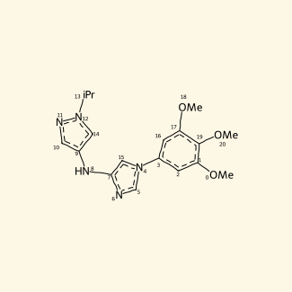 COc1cc(-n2cnc(Nc3cnn(C(C)C)c3)c2)cc(OC)c1OC